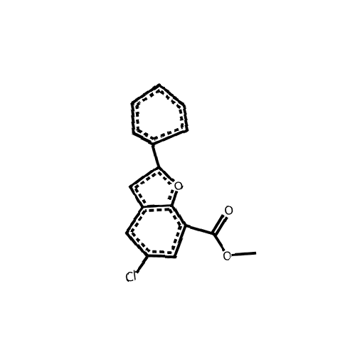 COC(=O)c1cc(Cl)cc2cc(-c3ccccc3)oc12